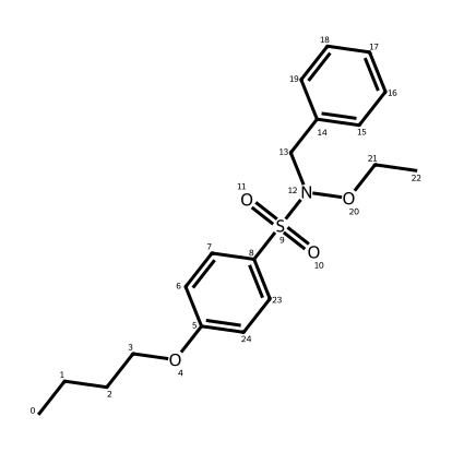 CCCCOc1ccc(S(=O)(=O)N(Cc2ccccc2)OCC)cc1